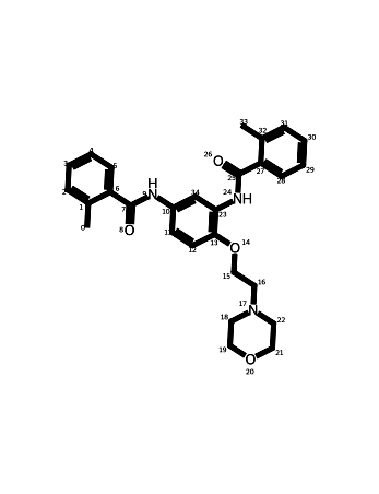 Cc1ccccc1C(=O)Nc1ccc(OCCN2CCOCC2)c(NC(=O)c2ccccc2C)c1